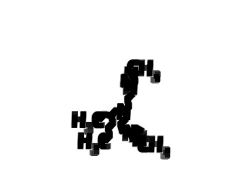 CCCCC(CC)CN(CCCN1C=CN(C)C1)CCCN1C=CN(C)C1